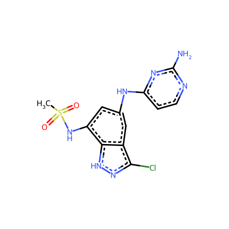 CS(=O)(=O)Nc1cc(Nc2ccnc(N)n2)cc2c(Cl)n[nH]c12